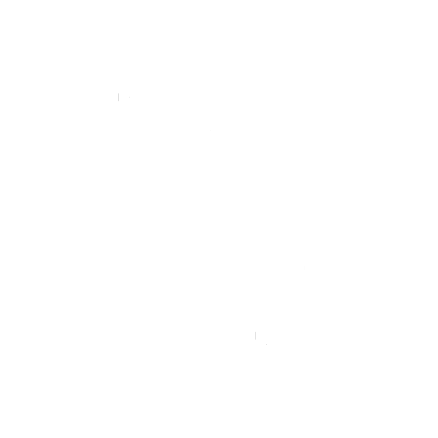 C=CC1CC=CCC1.C=CC1CC=CCC1.Oc1ccccc1